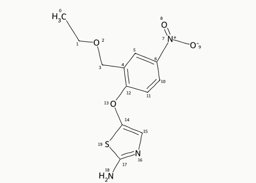 CCOCc1cc([N+](=O)[O-])ccc1Oc1cnc(N)s1